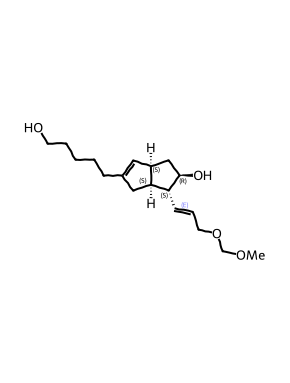 COCOC/C=C/[C@@H]1[C@H]2CC(CCCCCO)=C[C@H]2C[C@H]1O